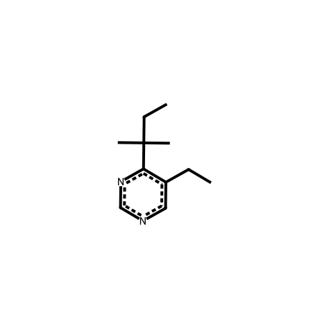 CCc1cncnc1C(C)(C)CC